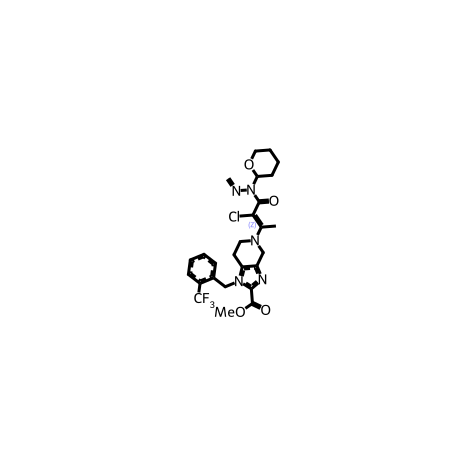 C=NN(C(=O)/C(Cl)=C(\C)N1CCc2c(nc(C(=O)OC)n2Cc2ccccc2C(F)(F)F)C1)C1CCCCO1